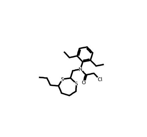 CCCC1CCCSC(CN(C(=O)CCl)c2c(CC)cccc2CC)S1